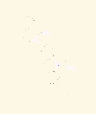 NC(=O)N(c1cccc(C(F)(F)F)c1)c1ccc(N2C=Cc3sccc3C2N)cc1F